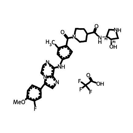 COc1ccc(-c2cnc3c(Nc4ccc(C(=O)N5CCC(C(=O)N[C@@H]6CNC[C@H]6O)CC5)c(C)c4)nccn23)cc1F.O=C(O)C(F)(F)F